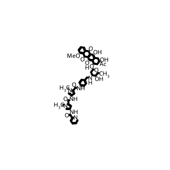 COc1cccc2c1C(=O)c1c(O)c3c(c(O)c1C2=O)C[C@](O)(C(C)=O)C[C@H]3OC1CC(NCc2ccc(NC(=O)c3cc(NC(=O)c4cc(NC(=O)c5ccccn5)cn4C)cn3C)cc2)C(O)C(C)O1